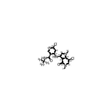 [2H]C([2H])([2H])NC(=O)c1cnc(Cl)cc1Nc1cn(C)c2c(Cl)cn(C)c(=O)c12